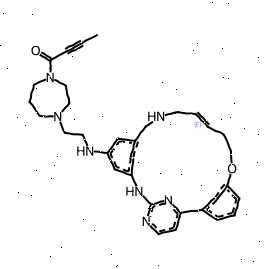 CC#CC(=O)N1CCCN(CCNc2cc3cc(c2)Nc2nccc(n2)-c2cccc(c2)OCC/C=C/CNC3)CC1